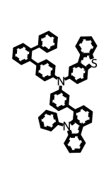 c1ccc(-c2ccccc2-c2ccc(N(c3cccc(-c4cccc5c6ccccc6n(-c6ccccc6)c45)c3)c3ccc4sc5ccccc5c4c3)cc2)cc1